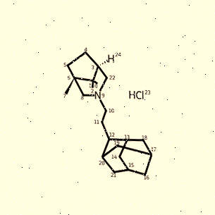 CC1(C)[C@H]2CC[C@@]1(C)CN(CCC1C3CC4CC(C3)CC1C4)C2.Cl